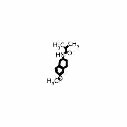 COc1ccc2c(c1)CCC(NC(=O)C(C)C)C2